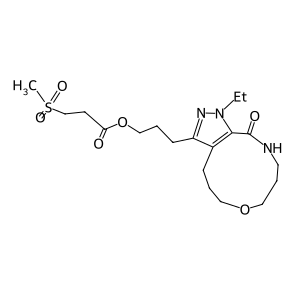 CCn1nc(CCCOC(=O)CCS(C)(=O)=O)c2c1C(=O)NCCCOCCC2